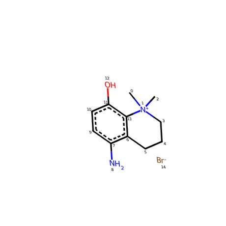 C[N+]1(C)CCCc2c(N)ccc(O)c21.[Br-]